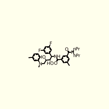 CCCN(CCC)C(=O)c1cc(C)cc(C(=O)NC(c2cc(F)cc(F)c2)[C@H](O)[C@H](O)CN(C)c2cccc(C)c2)c1